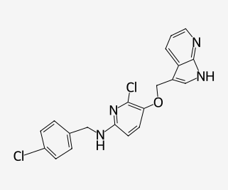 Clc1ccc(CNc2ccc(OCc3c[nH]c4ncccc34)c(Cl)n2)cc1